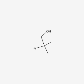 [CH2]C(C)C(C)(C)CO